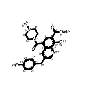 COC(=O)c1cc(C(=O)N2CCN(C(C)C)CC2)c2cc(Cc3ccc(F)cc3)cnc2c1O